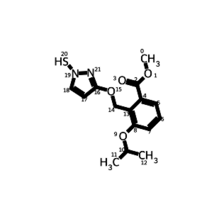 COC(=O)c1cccc(OC(C)C)c1COc1ccn(S)n1